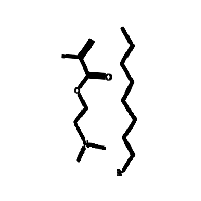 C=C(C)C(=O)OCCN(C)C.CCCCCCCCBr